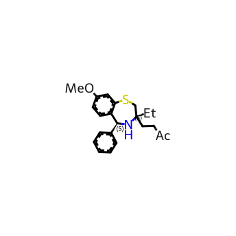 CC[C@]1(CCC(C)=O)CSc2cc(OC)ccc2[C@H](c2ccccc2)N1